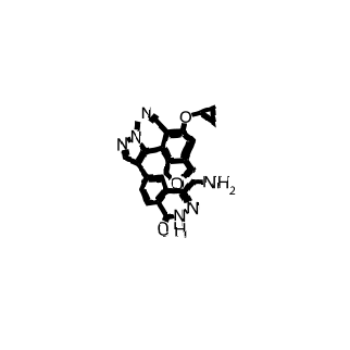 Cn1ncc(-c2ccc3c(=O)[nH]nc(CN)c3c2)c1-c1c(C#N)c(OC2CC2)cc2c1COC2